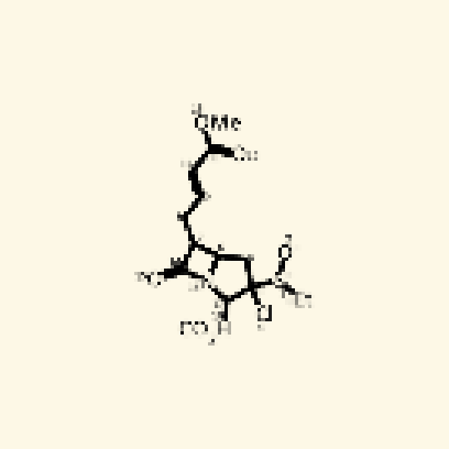 CC[S+]([O-])C1(Cl)CC2C(C/C=C/C(=O)OC)C(=O)N2C1C(=O)O